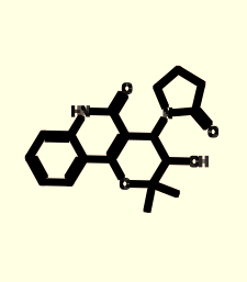 CC1(C)Oc2c(c(=O)[nH]c3ccccc23)C(N2CCCC2=O)C1O